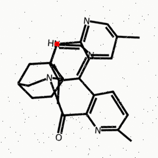 Cc1ccc(NC2CC3CCC2N(C(=O)c2nc(C)ccc2-c2ncccc2C)C3)nc1